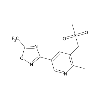 Cc1ncc(-c2noc(C(F)(F)F)n2)cc1CS(C)(=O)=O